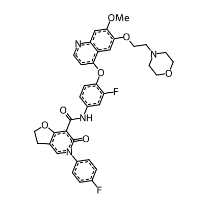 COc1cc2nccc(Oc3ccc(NC(=O)c4c5c(cn(-c6ccc(F)cc6)c4=O)CCO5)cc3F)c2cc1OCCN1CCOCC1